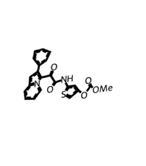 COC(=O)Oc1csc(NC(=O)C(=O)c2c(-c3ccccc3)cc3ccccn23)c1